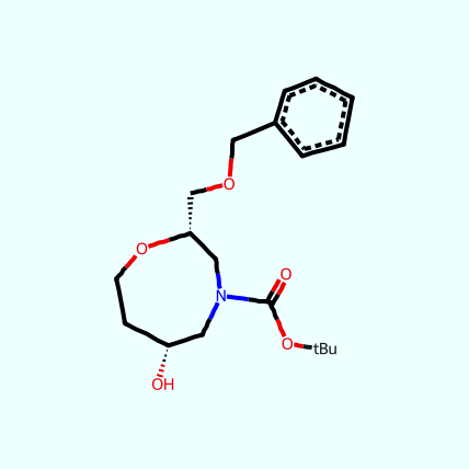 CC(C)(C)OC(=O)N1C[C@H](O)CCO[C@H](COCc2ccccc2)C1